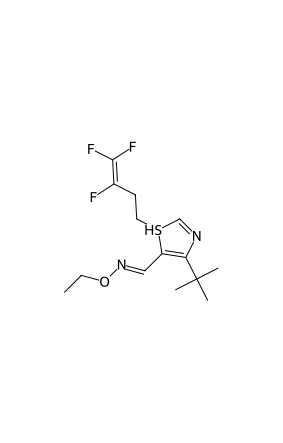 CCON=CC1=C(C(C)(C)C)N=C[SH]1CCC(F)=C(F)F